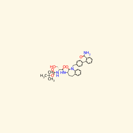 CC(C)(C)OC(=O)N[C@H](CO)C(=O)N[C@@H]1CCc2ccccc2N(Cc2ccc(-c3ccccc3C(N)=O)cc2)C1=O